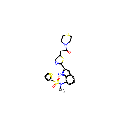 CN(c1cccc2cc(C3=NCC(CC(=O)N4CCSCC4)S3)[nH]c12)S(=O)(=O)c1cccs1